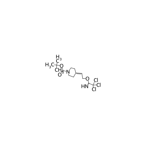 CC(C)(C)OC(=O)N1CCC(=CCOC(=N)C(Cl)(Cl)Cl)CC1